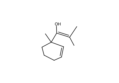 CC(C)=C(O)C1(C)C=CCCC1